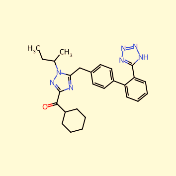 CCC(C)n1nc(C(=O)C2CCCCC2)nc1Cc1ccc(-c2ccccc2-c2nnn[nH]2)cc1